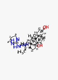 CC(NNC1=NCCCN1)[C@H]1CC[C@]2(O)[C@@H]3CC[C@@H]4C[C@@H](O)CC[C@]4(C)[C@H]3CC[C@]12C